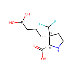 O=C(O)[C@H]1NCC[C@]1(CCCB(O)O)C(F)F